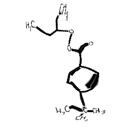 CC[C](C)OOC(=O)c1ccc([Si](C)(C)C)cc1